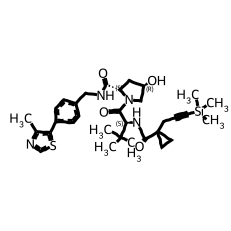 Cc1ncsc1-c1ccc(CNC(=O)[C@@H]2C[C@@H](O)CN2C(=O)[C@@H](NC(=O)C2(CC#C[Si](C)(C)C)CC2)C(C)(C)C)cc1